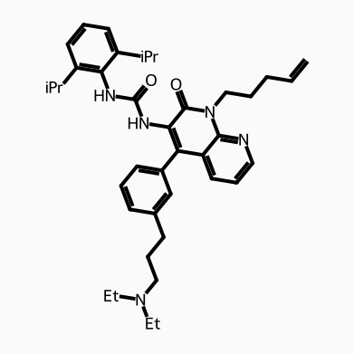 C=CCCCn1c(=O)c(NC(=O)Nc2c(C(C)C)cccc2C(C)C)c(-c2cccc(CCCN(CC)CC)c2)c2cccnc21